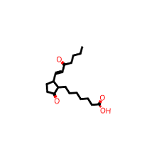 CCCCC(=O)/C=C/C1CCC(=O)C1CCCCCCC(=O)O